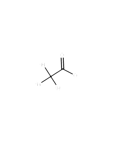 [2H]C([2H])([2H])C([O])=O